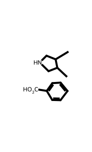 CC1CNCC1C.O=C(O)c1ccccc1